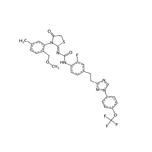 COCc1ccc(C)cc1N1C(=O)CSC1=NC(=O)Nc1ccc(CCc2ncn(-c3ccc(OC(F)(F)F)cc3)n2)cc1F